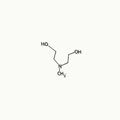 [CH2]N(CCO)CCO